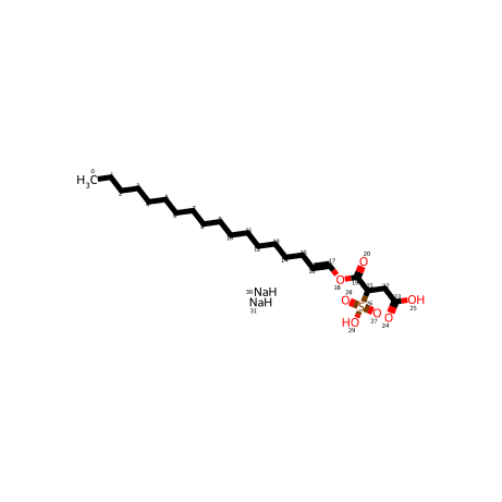 CCCCCCCCCCCCCCCCC=COC(=O)C(CC(=O)O)S(=O)(=O)O.[NaH].[NaH]